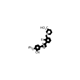 CCc1c(CN2CCCC(C(=O)O)C2)cccc1-c1cnc(-c2ccc(OC(C)C)c(C#N)c2)s1